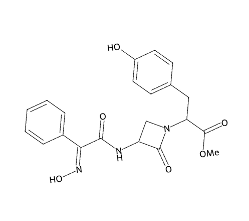 COC(=O)C(Cc1ccc(O)cc1)N1CC(NC(=O)C(=NO)c2ccccc2)C1=O